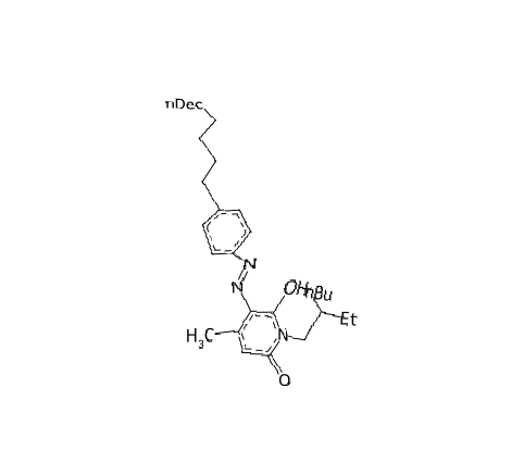 CCCCCCCCCCCCCCc1ccc(/N=N/c2c(C)cc(=O)n(CC(CC)CCCC)c2O)cc1